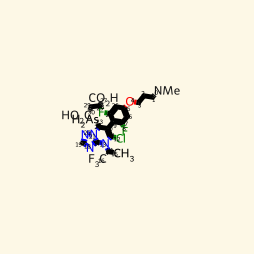 CNCCCOc1cc(F)c(C2=C(Cl)N([C@@H](C)C(F)(F)F)c3ncnn3C2[AsH2])c(F)c1.O=C(O)CCC(=O)O